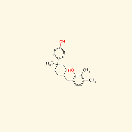 Cc1ccc(CC2CCC(C)(c3ccc(O)cc3)CC2)c(O)c1C